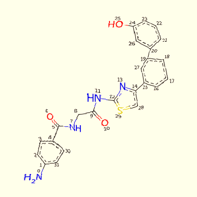 Nc1ccc(C(=O)NCC(=O)Nc2nc(-c3cccc(-c4cccc(O)c4)c3)cs2)cc1